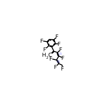 C=C(/C(F)=C(F)\C(F)=C(\F)CF)c1c(F)c(F)cc(F)c1F